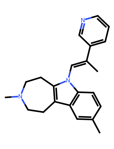 C/C(=C\n1c2c(c3cc(C)ccc31)CCN(C)CC2)c1cccnc1